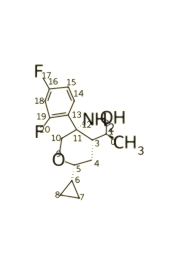 C[C@H](O)[C@@H]1C[C@H](C2CC2)OC[C@@]1(N)c1ccc(F)cc1F